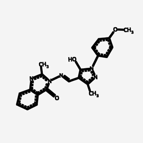 COc1ccc(-n2nc(C)c(C=Nn3c(C)nc4ccccc4c3=O)c2O)cc1